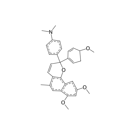 COc1cc(OC)c2cc(C)c3c(c2c1)OC(C1=CCC(OC)C=C1)(c1ccc(N(C)C)cc1)C=C3